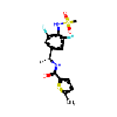 Bc1ccc(C(=O)N[C@H](C)c2cc(F)c(NS(C)(=O)=O)c(F)c2)s1